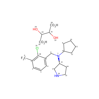 FC(F)(F)c1cccc(CN(C2CCCC2)[C@H]2CCNC2)c1Cl.O=C(O)C(O)C(O)C(=O)O